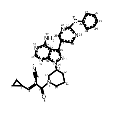 N#CC(=CC1CC1)C(=O)N1CCCC(n2nc(-c3cnc(Oc4ccccc4)nc3)c3c(N)ncnc32)C1